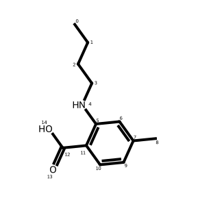 CCCCNc1cc(C)ccc1C(=O)O